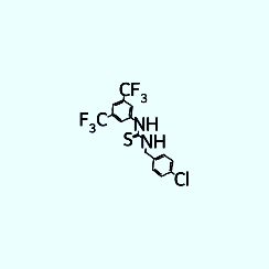 FC(F)(F)c1cc(NC(=S)NCc2ccc(Cl)cc2)cc(C(F)(F)F)c1